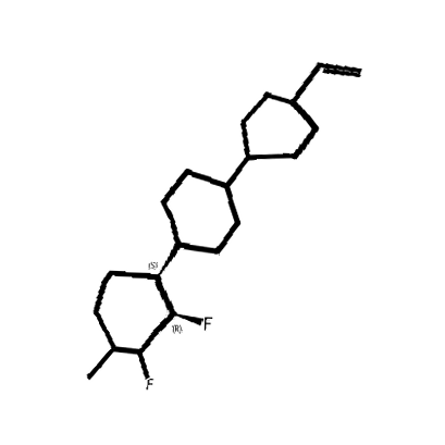 C=CC1CCC(C2CCC([C@@H]3CCC(C)C(F)[C@@H]3F)CC2)CC1